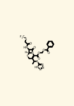 CC(Sc1nnn[nH]1)C1=C(C(=O)OCOC(=O)c2ccccc2)N2C(=O)C(NC(=O)CSC(F)(F)F)[C@@H]2SC1